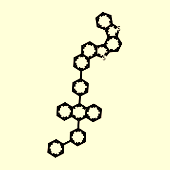 c1ccc(-c2cccc(-c3c4ccccc4c(-c4ccc(-c5ccc6ccc7c(sc8ccc9sc%10ccccc%10c9c87)c6c5)cc4)c4ccccc34)c2)cc1